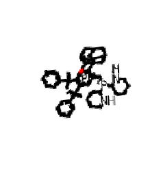 CC(C)(c1ccccc1)c1cc(CP(C2CCCCN2)C2CCCCN2)c(C23CC4CC(CC(C4)C2CP)C3)cc1C(C)(C)c1ccccc1